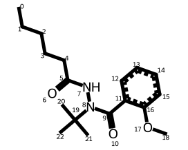 CCCCCC(=O)NN(C(=O)c1ccccc1OC)C(C)(C)C